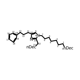 CCCCCCCCCCCCCCCCCn1cc(CCCc2ccccc2)nc1CCCCCCCCCCC